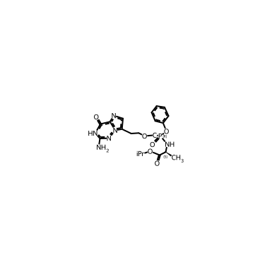 CC(C)OC(=O)[C@H](C)N[P@@](=O)(COCCc1cnc2c(=O)[nH]c(N)nn12)Oc1ccccc1